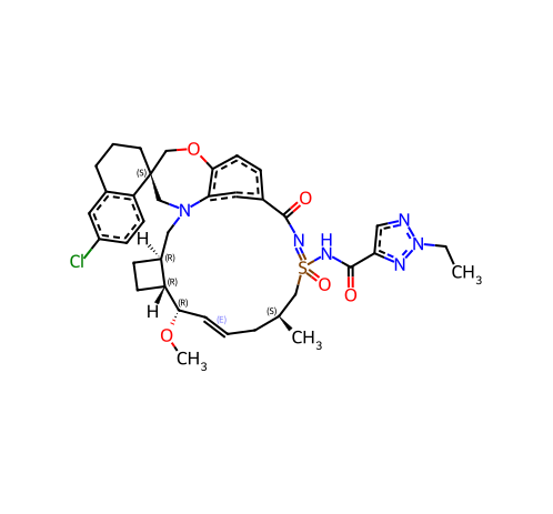 CCn1ncc(C(=O)NS2(=O)=NC(=O)c3ccc4c(c3)N(C[C@@H]3CC[C@H]3[C@@H](OC)/C=C/C[C@H](C)C2)C[C@@]2(CCCc3cc(Cl)ccc32)CO4)n1